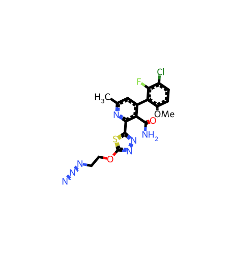 COc1ccc(Cl)c(F)c1-c1cc(C)nc(-c2nnc(OCCN=[N+]=[N-])s2)c1C(N)=O